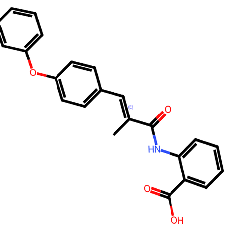 C/C(=C\c1ccc(Oc2ccccc2)cc1)C(=O)Nc1ccccc1C(=O)O